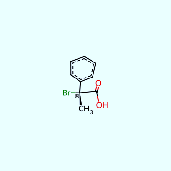 C[C@](Br)(C(=O)O)c1ccccc1